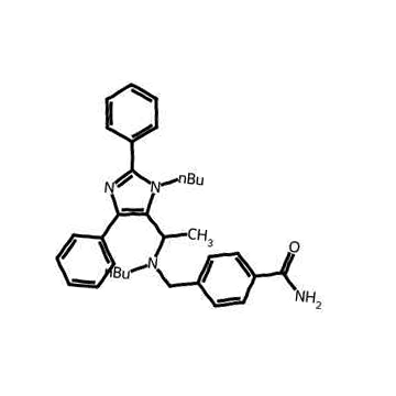 CCCCN(Cc1ccc(C(N)=O)cc1)C(C)c1c(-c2ccccc2)nc(-c2ccccc2)n1CCCC